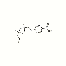 CCCC(C)(C)CC(C)(C)COc1ccc(C(=O)O)cc1